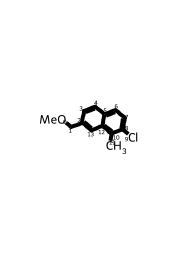 COCc1ccc2ccc(Cl)c(C)c2c1